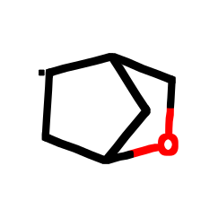 [CH]1CC2CC1CO2